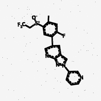 Cc1cc(F)c(-c2cnc3nn(-c4cccnc4)cc3c2)cc1[S+]([O-])CC(F)(F)F